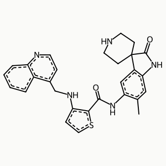 Cc1cc2c(cc1NC(=O)c1sccc1NCc1ccnc3ccccc13)C1(CCNCC1)C(=O)N2